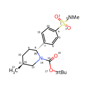 CNS(=O)(=O)c1ccc([C@H]2CC[C@H](C)CN2C(=O)OC(C)(C)C)cc1